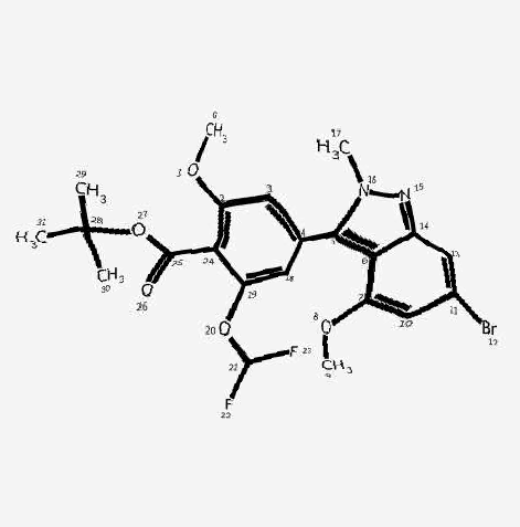 COc1cc(-c2c3c(OC)cc(Br)cc3nn2C)cc(OC(F)F)c1C(=O)OC(C)(C)C